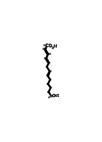 CCCCCCCCCCCCC=CCC=CC=CC(=O)O